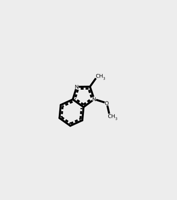 COn1c(C)nc2ccccc21